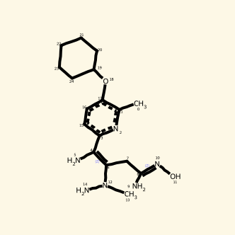 Cc1nc(/C(N)=C(\C/C(N)=N/O)N(C)N)ccc1OC1CCCCC1